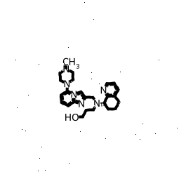 CN1CCN(c2cccc3nc(CN(CCCO)[C@H]4CCCc5cccnc54)cn23)CC1